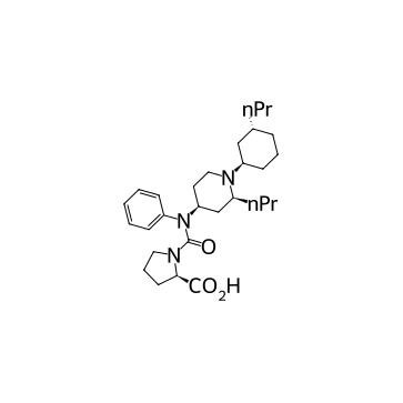 CCC[C@@H]1CCC[C@@H](N2CC[C@H](N(C(=O)N3CCC[C@@H]3C(=O)O)c3ccccc3)C[C@@H]2CCC)C1